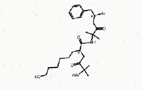 CCCCC(C)(C)C(=O)C[C@@H](CCCCCCO)C(=O)NC(C)(C)C(=O)C[C@@H](Cc1ccccc1)C(C)=O